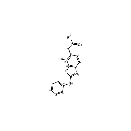 CC(C)C(=O)Cc1ccc2nc(Nc3ccccc3)oc2c1Cl